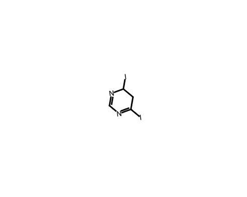 IC1=NC=NC(I)C1